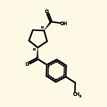 CCc1ccc(C(=O)[C@@H]2CC[C@H](C(=O)O)C2)cc1